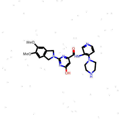 COc1cc2c(cc1OC)CN(c1nc(O)cc(C(=O)Nc3cnccc3N3CCNCC3)n1)C2